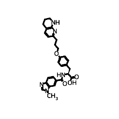 Cn1cnc2ccc(C(=O)N[C@@H](Cc3ccc(OCCCc4ccc5c(n4)NCCC5)cc3)C(=O)O)cc21